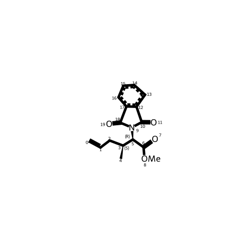 C=CC[C@H](C)[C@H](C(=O)OC)N1C(=O)c2ccccc2C1=O